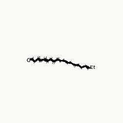 CCC=CCC=CCC=CCC=CCC=CCCCCCl